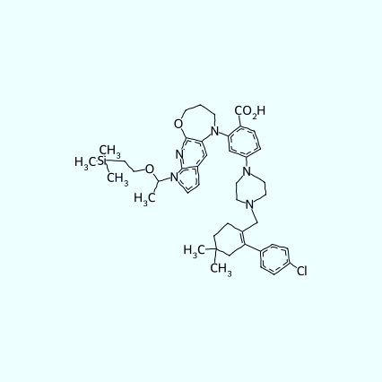 CC(OCC[Si](C)(C)C)n1ccc2cc3c(nc21)OCCCN3c1cc(N2CCN(CC3=C(c4ccc(Cl)cc4)CC(C)(C)CC3)CC2)ccc1C(=O)O